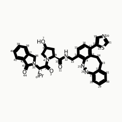 CC(C)[C@@H](C(=O)N1CC(O)C[C@H]1C(=O)NCc1ccc(-c2cncs2)c2c1/N=N\c1ccccc1CC2)N1Cc2ccccc2C1=O